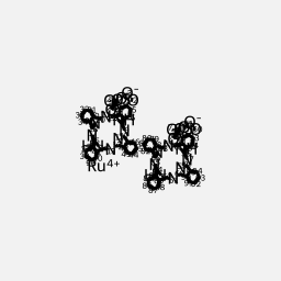 O=S(=O)([O-])c1ccc2c3nc4nc(nc5[nH]c(nc6nc(nc([nH]3)c2c1S(=O)(=O)[O-])-c1ccccc1-6)c1ccccc51)-c1ccccc1-4.O=S(=O)([O-])c1ccc2c3nc4nc(nc5[nH]c(nc6nc(nc([nH]3)c2c1S(=O)(=O)[O-])-c1ccccc1-6)c1ccccc51)-c1ccccc1-4.[Ru+4]